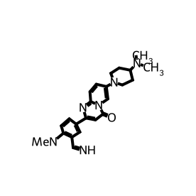 CNc1ccc(-c2cc(=O)n3cc(N4CCC(N(C)C)CC4)ccc3n2)cc1C=N